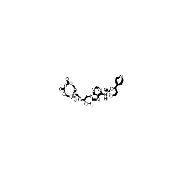 C[C@H](Cn1cnc2c(NP3(=O)OCCC(c4ccncc4)O3)ncnc21)OCP1(=O)OCOC(=O)OC(=O)OCO1